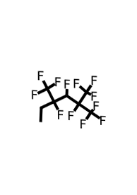 CCC(F)(C(F)C(F)(C(F)(F)F)C(F)(F)F)C(F)(F)F